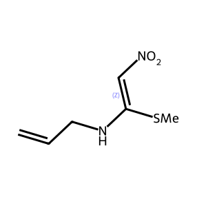 C=CCN/C(=C/[N+](=O)[O-])SC